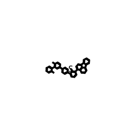 Cc1ccccc1-c1cc(-c2ccc3c(c2)sc2c(-c4ccc5c6c(cccc46)-c4ccccc4-5)cccc23)ccc1C